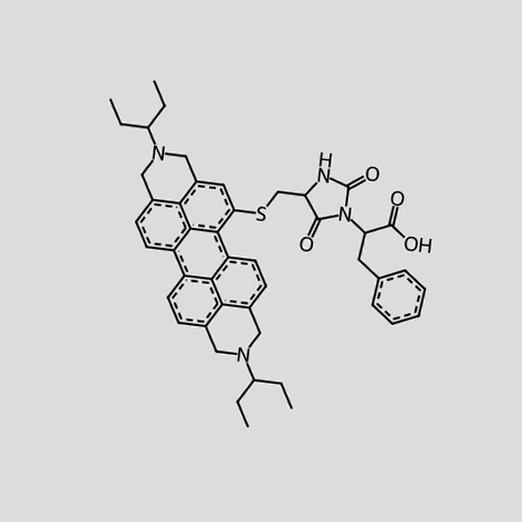 CCC(CC)N1Cc2ccc3c4ccc5c6c(cc(SCC7NC(=O)N(C(Cc8ccccc8)C(=O)O)C7=O)c(c7ccc(c2c37)C1)c64)CN(C(CC)CC)C5